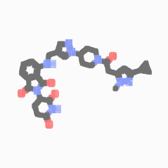 Cn1nc(C2CC2)cc1CC(=O)N1CCC(n2cc(CNc3cccc4c3C(=O)N(C3CCC(=O)NC3=O)C4=O)cn2)CC1